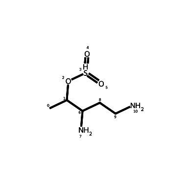 CC(O[SH](=O)=O)C(N)CCN